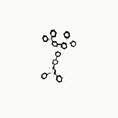 Cc1cccc(-c2cc(-c3cc(C)c(-c4ccc(-n5c6ccc(N(c7ccccc7)c7ccccc7)cc6c6cc(N(c7ccccc7)c7ccccc7)ccc65)cc4)cc3C)nc(-c3cccc(C)c3)n2)c1